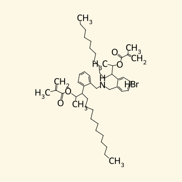 Br.C=C(C)C(=O)OC(C)C(CCCCCCCCCCC)c1ccccc1CNCc1ccccc1C(CCCCCCCCCCC)C(C)OC(=O)C(=C)C